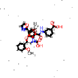 COc1ccccc1[C@H](CN(C(=O)O)c1sc(-c2ncco2)c(C)c1C(=O)Nc1cccc(C(=O)O)c1)OC1CCOCC1